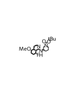 COc1ccc(F)c2c(N[C@@H]3CCCN(C(=O)OC(C)(C)C)C3)nccc12